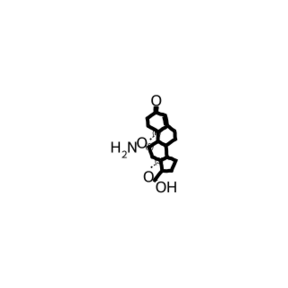 C[C@]12C[C@H](ON)C3C(CCC4=CC(=O)CC[C@@]43C)C1CCC2C(=O)O